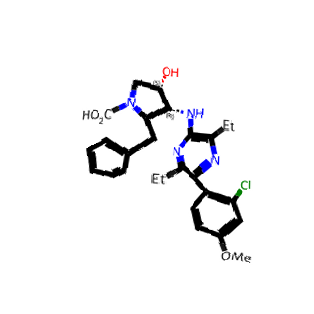 CCc1nc(-c2ccc(OC)cc2Cl)c(CC)nc1N[C@@H]1C(Cc2ccccc2)N(C(=O)O)C[C@@H]1O